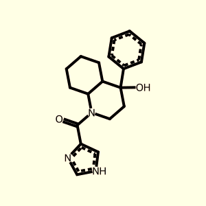 O=C(c1c[nH]cn1)N1CCC(O)(c2ccccc2)C2CCCCC21